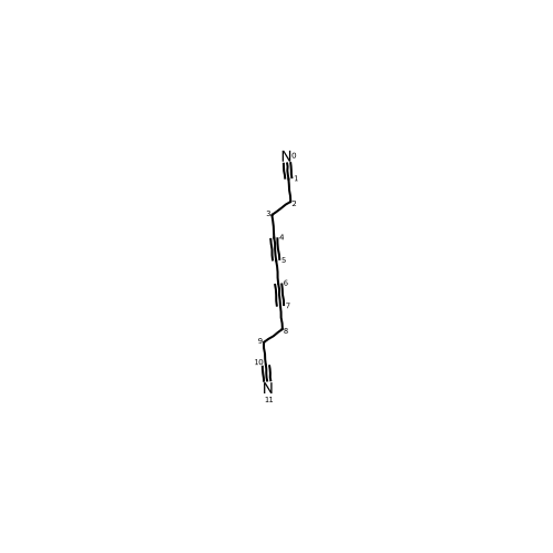 N#CCCC#CC#CCCC#N